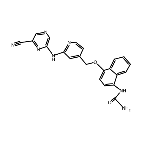 N#Cc1cncc(Nc2cc(COc3ccc(NC(N)=O)c4ccccc34)ccn2)n1